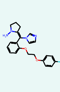 NN1CCCC1=C(c1ccccc1OCCOc1ccc(F)cc1)n1ccnc1